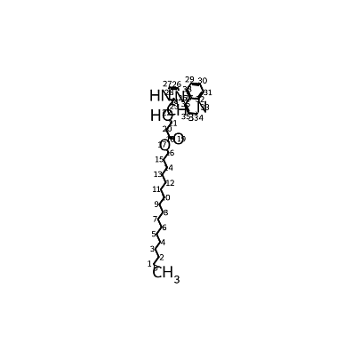 CCCCCCCCCCCCCCCCCOC(=O)CCO.Cc1ncc[nH]1.c1ccc2ncccc2c1